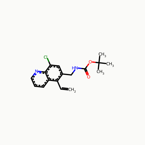 C=Cc1c(CNC(=O)OC(C)(C)C)cc(Cl)c2ncccc12